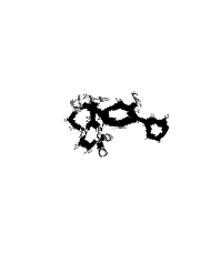 [2H]C1(c2ccc(-c3ccccc3)c(F)c2)NCCN2CCS(=O)(=O)N=C21